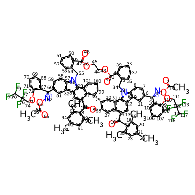 CC(=O)O/N=C(/c1ccc2c(c1)c1cc(C(=O)c3c(C)cc(C)cc3C)c3ccccc3c1n2Cc1ccccc1C(=O)OCCOC(=O)c1ccccc1Cn1c2ccc(/C(=N/OC(C)=O)c3ccccc3OCC(F)(F)C(F)F)cc2c2cc(C(=O)c3c(C)cc(C)cc3C)c3ccccc3c21)c1ccccc1OCC(F)(F)C(F)F